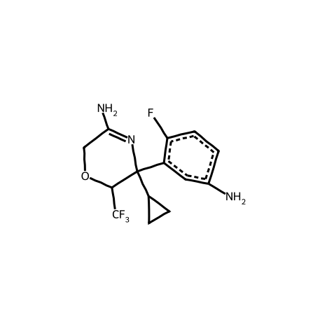 NC1=NC(c2cc(N)ccc2F)(C2CC2)C(C(F)(F)F)OC1